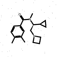 Cc1ccc(C(=O)N(C)[C@H](CN2CCC2)C2CC2)cc1C